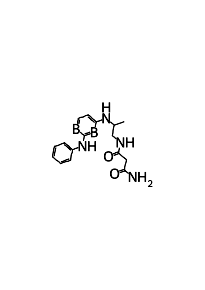 CC(CNC(=O)CC(N)=O)Nc1bc(Nc2ccccc2)bcc1